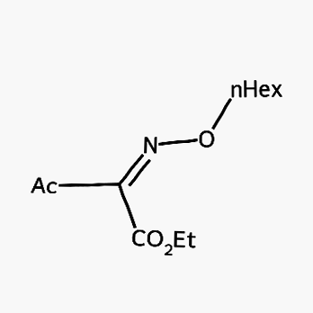 CCCCCCON=C(C(C)=O)C(=O)OCC